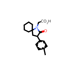 Cc1ccc(C2CC3(CCCCC3)N(CC(=O)O)C2=O)cc1